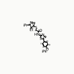 CCn1c(SCC(=O)Nc2nnc(-c3ccc(OC(C)C)cc3)s2)nnc1C(C)C